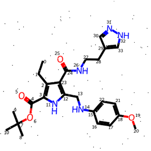 CCc1c(C(=O)OC(C)(C)C)[nH]c(CNc2ccc(OC)cc2)c1C(=O)NCCc1cn[nH]c1